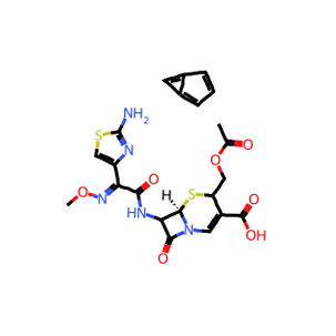 CON=C(C(=O)NC1C(=O)N2C=C(C(=O)O)C(COC(C)=O)S[C@H]12)c1csc(N)n1.c1cc2cc-2c1